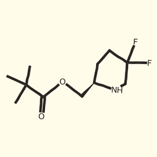 CC(C)(C)C(=O)OC[C@H]1CCC(F)(F)CN1